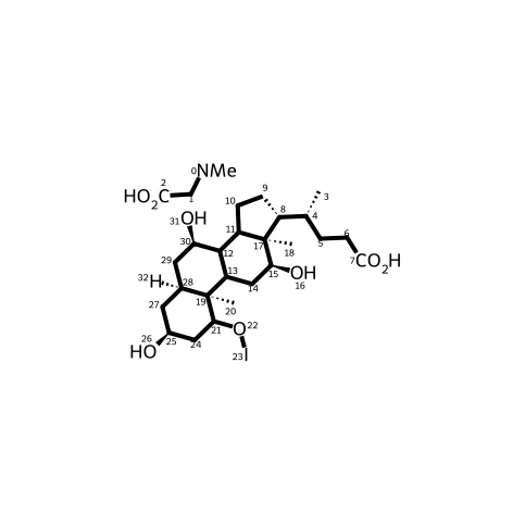 CNCC(=O)O.C[C@H](CCC(=O)O)[C@H]1CCC2C3C(C[C@H](O)[C@@]21C)[C@@]1(C)C(OI)C[C@@H](O)C[C@H]1C[C@H]3O